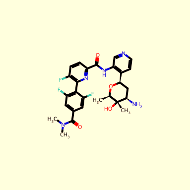 C[C@H]1O[C@@H](c2ccncc2NC(=O)c2ccc(F)c(-c3c(F)cc(C(=O)N(C)C)cc3F)n2)C[C@@H](N)[C@]1(C)O